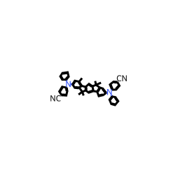 Cc1cc(N(c2ccccc2)c2ccc(C#N)cc2)cc2c1-c1cc3c(cc1C2(C)C)-c1ccc(N(c2ccccc2)c2ccc(C#N)cc2)cc1C3(C)C